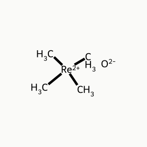 [CH3][Re+2]([CH3])([CH3])[CH3].[O-2]